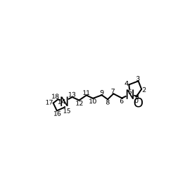 O=C1CCCN1CCCCCCCCN1CCCC1